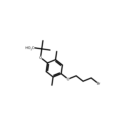 Cc1cc(OC(C)(C)C(=O)O)c(C)cc1OCCCBr